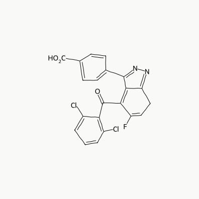 O=C(O)c1ccc(C2=NN=C3CC=C(F)C(C(=O)c4c(Cl)cccc4Cl)=C32)cc1